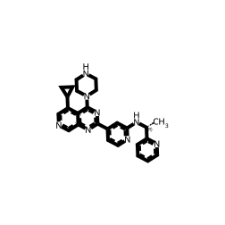 C[C@@H](Nc1cc(-c2nc(N3CCNCC3)c3c(C4CC4)cncc3n2)ccn1)c1ccccn1